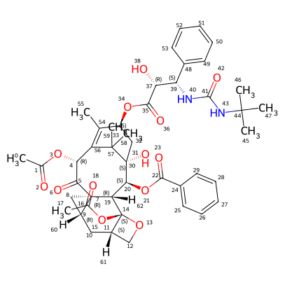 CC(=O)O[C@H]1C(=O)[C@]23C[C@H]2C[C@H]2CO[C@@]2(OC(C)=O)[C@H]3[C@H](OC(=O)c2ccccc2)[C@]2(O)C[C@H](OC(=O)[C@H](O)[C@@H](NC(=O)NC(C)(C)C)c3ccccc3)C(C)=C1C2(C)C